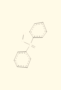 BOP(=O)(c1ccccc1)c1ccccc1